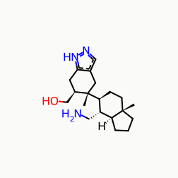 C[C@@]12CCC[C@H]1[C@H](CN)[C@@H]([C@@]1(C)Cc3cn[nH]c3C[C@@H]1CO)CC2